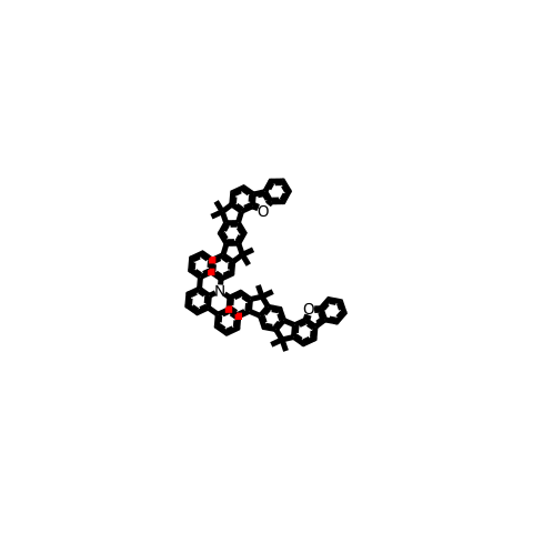 CC1(C)c2cc(N(c3ccc4c(c3)C(C)(C)c3cc5c(cc3-4)C(C)(C)c3ccc4c(oc6ccccc64)c3-5)c3c(-c4ccccc4)cccc3-c3ccccc3)ccc2-c2cc3c(cc21)-c1c(ccc2c1oc1ccccc12)C3(C)C